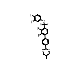 CC1COC(c2ccc(-c3ccc(C(F)(F)Oc4ccc(F)c(F)c4)c(F)c3F)cc2)OC1